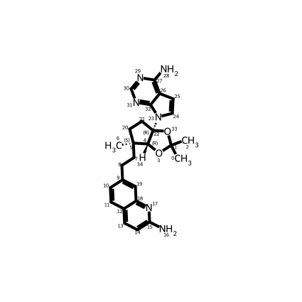 CC1(C)O[C@@H]2[C@@](C)(CCc3ccc4ccc(N)nc4c3)CC[C@@]2(n2ccc3c(N)ncnc32)O1